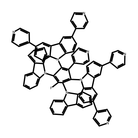 Fc1c(-n2c3ccccc3c3ccccc32)c(-n2c3ccc(-c4ccncc4)cc3c3cc(-c4ccncc4)ccc32)c(-c2ccncc2)c(-n2c3ccc(-c4ccncc4)cc3c3cc(-c4ccncc4)ccc32)c1-n1c2ccccc2c2ccccc21